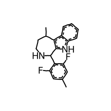 Cc1cc(F)c(C2NCCC(C)c3c2[nH]c2ccccc32)c(F)c1